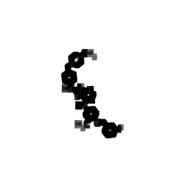 Cc1cc(Nc2ncnc3nc(Nc4ccc(CN5CCN(C)CC5)cc4)sc23)ccc1OCc1cccc(F)c1